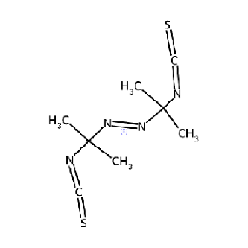 CC(C)(N=C=S)/N=N/C(C)(C)N=C=S